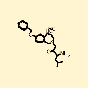 CC(C)CC(N)C(=O)CN1CCCc2cc(OCc3ccccc3)ccc2C1.Cl.Cl